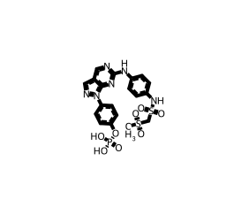 CS(=O)(=O)CS(=O)(=O)Nc1ccc(Nc2ncc3cnn(-c4ccc(OP(=O)(O)O)cc4)c3n2)cc1